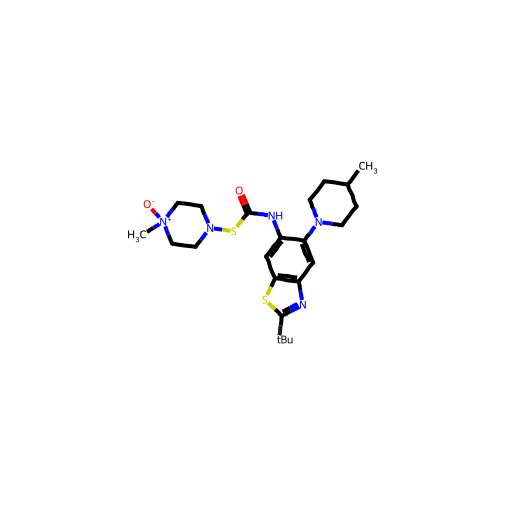 CC1CCN(c2cc3nc(C(C)(C)C)sc3cc2NC(=O)SN2CC[N+](C)([O-])CC2)CC1